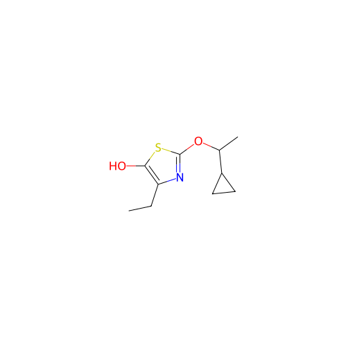 CCc1nc(OC(C)C2CC2)sc1O